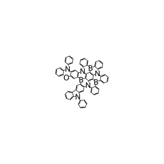 c1ccc(N2c3ccccc3Oc3cc4c(cc32)N2c3ccccc3B3c5ccccc5N5c6ccccc6B6c7ccccc7N7c8cc9c(cc8B4c4c2c3c5c6c47)c2ccccc2n9-c2ccccc2)cc1